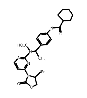 CC(C)C1COC(=O)N1c1ccnc(N(C(=O)O)C(C)c2ccc(NC(=O)C3CCCCC3)cc2)n1